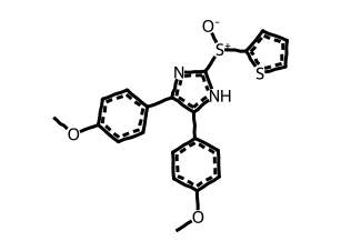 COc1ccc(-c2nc([S+]([O-])c3cccs3)[nH]c2-c2ccc(OC)cc2)cc1